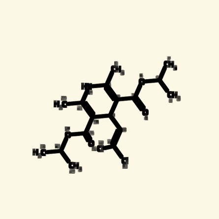 CC1=C(C(=O)OC(C)C)C(C=C(Cl)Cl)C(C(=O)OC(C)C)=C(C)N1